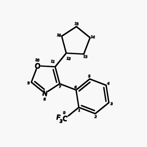 FC(F)(F)c1ccccc1-c1ncoc1C1CCCC1